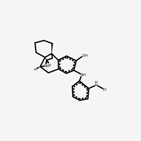 CCNc1ccccc1Nc1cc2c(cc1O)[C@@]13CCCC[C@H]1[C@@H](C2)NCC3